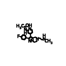 CNCCN1CCn2nc(-c3ccc(F)cc3)c(-c3ccnc(NC(C)O)c3)c2C1